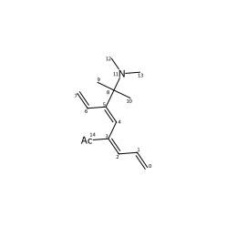 C=C/C=C(\C=C(/C=C)C(C)(C)N(C)C)C(C)=O